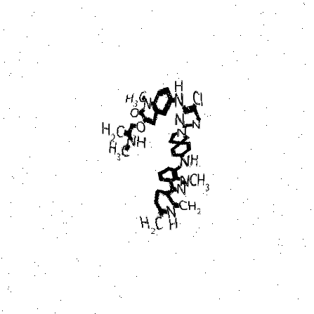 C=C(COc1cc2cc(Nc3nc(N4CCC5(CCC(Nc6cccc7c(C8CCC(=C)NC8=C)nn(C)c67)CC5)C4)ncc3Cl)ccc2n(C)c1=O)NC